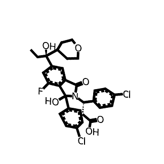 CC[C@@](O)(c1cc(F)c2c(c1)C(=O)N([C@@H](CC(=O)O)c1ccc(Cl)cc1)C2(O)c1ccc(Cl)cc1)C1CCOCC1